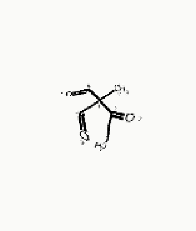 CC(C=O)(C=O)C(=O)O